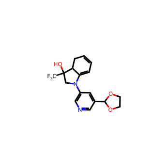 OC1(C(F)(F)F)CN(c2cncc(C3OCCO3)c2)C2=CC=CCC21